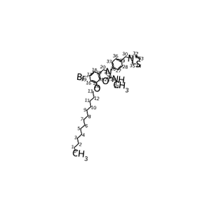 CCCCCCCCCCCCCCOc1cccc(CN(C(=O)NC)c2ccc(C[n+]3ccsc3)cc2)c1.[Br-]